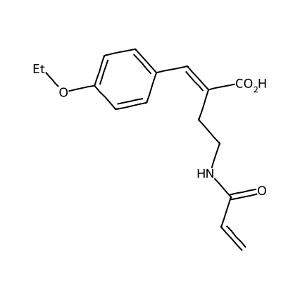 C=CC(=O)NCC/C(=C\c1ccc(OCC)cc1)C(=O)O